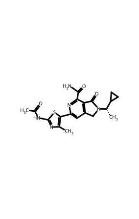 CC(=O)Nc1nc(C)c(-c2cc3c(c(C(N)=O)n2)C(=O)N([C@@H](C)C2CC2)C3)s1